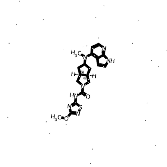 COc1nsc(NC(=O)N2C[C@H]3CC(N(C)c4ccnc5[nH]ccc45)C[C@H]3C2)n1